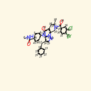 CNC(=O)c1ccc(-n2c(=O)c3c(n4ncc(Cc5ccccc5)c24)CN(C(=O)c2ccc(Br)c(Cl)c2)[C@H](C)C3)cc1